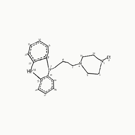 CCN1CCN(CCN2c3ccccc3Pc3ccccc32)CC1